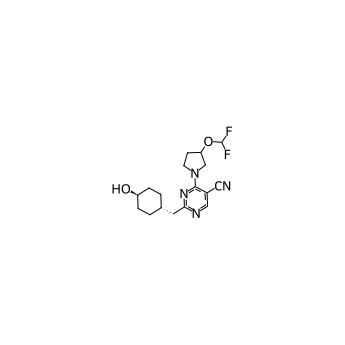 N#Cc1cnc(C[C@H]2CC[C@H](O)CC2)nc1N1CCC(OC(F)F)C1